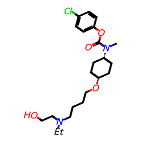 CCN(CCO)CCCCO[C@H]1CC[C@H](N(C)C(=O)Oc2ccc(Cl)cc2)CC1